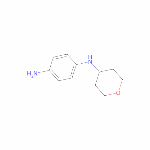 Nc1ccc(NC2CCOCC2)cc1